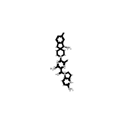 Cc1ccc2c(c1)[C@@H](N)C1(CCN(c3nc(N)c(C(=O)N4CCc5nc(N)ccc54)nc3C)CC1)C2